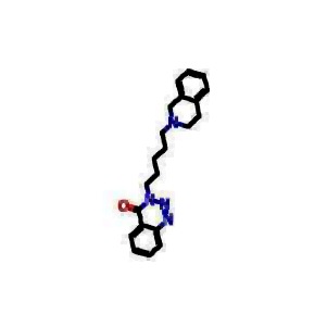 O=c1c2ccccc2nnn1CCCCCN1CCc2ccccc2C1